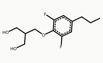 CCCc1cc(F)c(OCC(CO)CO)c(F)c1